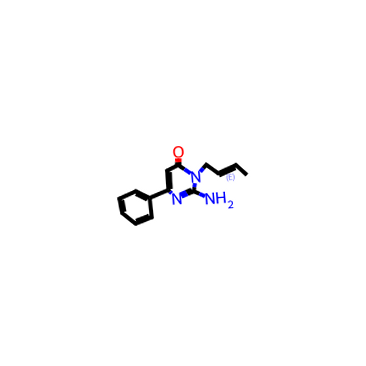 C/C=C/Cn1c(N)nc(-c2ccccc2)cc1=O